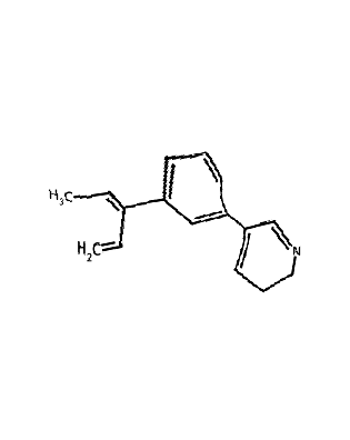 C=C/C(=C\C)c1cccc(C2=CCCN=C2)c1